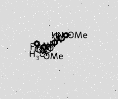 COCC(C)n1c(=O)c(-c2cccc(F)c2Cl)cn(CC(=O)N2CCC(N3CCc4cc(OC)ccc4NC3=O)CC2)c1=O